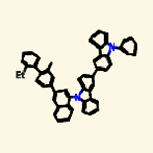 CCc1ccccc1-c1ccc(-c2cc(-n3c4ccccc4c4cc(-c5ccc6c(c5)c5ccccc5n6-c5ccccc5)ccc43)c3ccccc3c2)cc1C